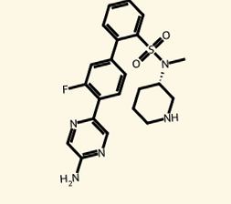 CN([C@H]1CCCNC1)S(=O)(=O)c1ccccc1-c1ccc(-c2cnc(N)cn2)c(F)c1